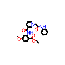 CCOC(=O)c1ccc(OC)cc1NC(=O)C1=CN(CC(=O)Nc2ccccc2)C=CC1